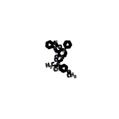 COc1ccc(N(C(=O)CN2C=CN(c3ccccc3)C(=O)/C(=C\n3cnc4ccccc43)C2=O)C(C)C)cc1